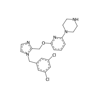 Clc1cc(Cl)cc(Cn2ccnc2COc2cccc(N3CCNCC3)n2)c1